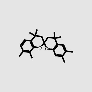 Cc1cc2c(cc1C)C(C)(C)CC1(CC(C)(C)c3ccc(C)c(C)c3O1)O2